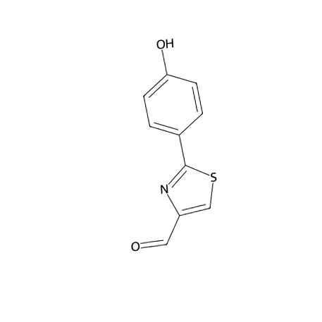 O=Cc1csc(-c2ccc(O)cc2)n1